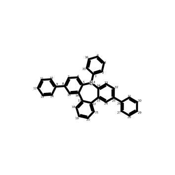 c1ccc(B2c3ccc(-c4ccccc4)cc3-c3ccccc3-c3cc(-c4ccccc4)ccc32)cc1